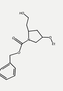 CCOC1CC(CCO)N(C(=O)OCc2ccccc2)C1